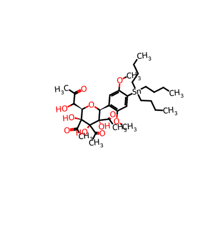 CCC[CH2][Sn]([CH2]CCC)([CH2]CCC)[c]1cc(OC)c([C@@H]2O[C@H](C(O)C(C)=O)[C@@](O)(C(C)=O)[C@@](O)(C(C)=O)[C@]2(O)C(C)=O)cc1OC